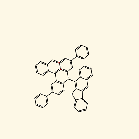 c1ccc(-c2cccc(N(c3ccc(-c4ccccc4)cc3-c3cccc4ccccc34)c3c4ccncc4cc4c3oc3ccccc34)c2)cc1